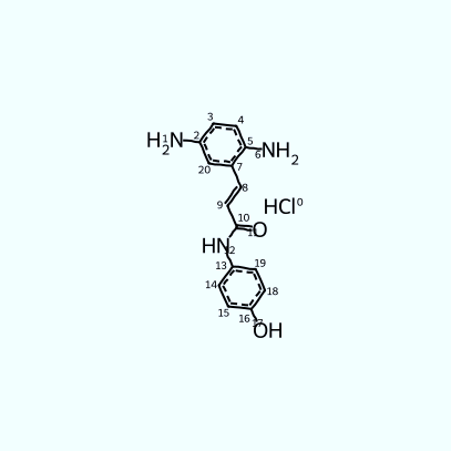 Cl.Nc1ccc(N)c(C=CC(=O)Nc2ccc(O)cc2)c1